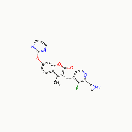 Cc1c(Cc2ccnc(C3CN3)c2F)c(=O)oc2cc(Oc3ncccn3)ccc12